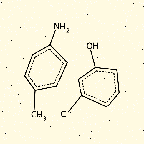 Cc1ccc(N)cc1.Oc1cccc(Cl)c1